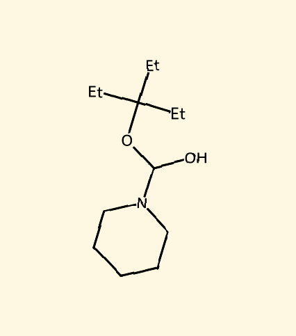 CCC(CC)(CC)OC(O)N1CCCCC1